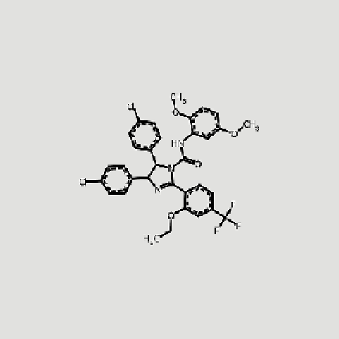 CCOc1cc(C(F)(F)F)ccc1C1=NC(c2ccc(Cl)cc2)C(c2ccc(Cl)cc2)N1C(=O)Nc1cc(OC)ccc1OC